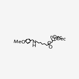 CCCCCCCCCCCC(CCCCCCCCCCC)COC(=O)CCCCCCNCc1ccc(OC)cc1